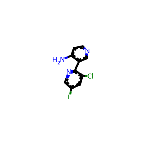 Nc1ccncc1-c1ncc(F)cc1Cl